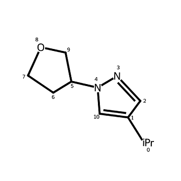 CC(C)c1cnn(C2CCOC2)c1